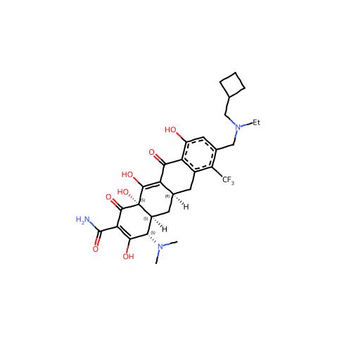 CCN(Cc1cc(O)c2c(c1C(F)(F)F)C[C@H]1C[C@H]3[C@H](N(C)C)C(O)=C(C(N)=O)C(=O)[C@@]3(O)C(O)=C1C2=O)CC1CCC1